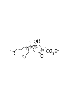 C=C(C)CCCN(CC1CC1)[C@H](C)[C@@]1(O)CCC(=O)[C@@H](CC(=O)OCC)C1